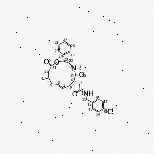 CC1C/C=C/C[C@@H](CC(=O)NCc2ccc(Cl)cc2)C(=O)NC[C@@H](c2ccccc2)OC(=O)C1